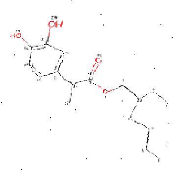 CCCCC(CC)COC(=O)C(C)c1ccc(O)c(O)c1